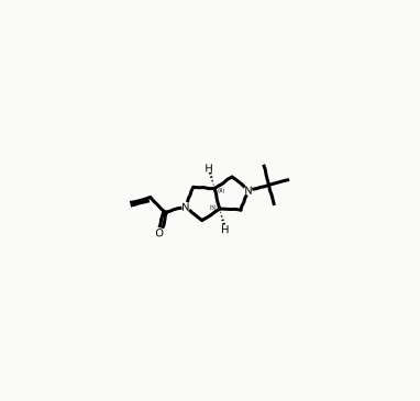 C=CC(=O)N1C[C@@H]2CN(C(C)(C)C)C[C@@H]2C1